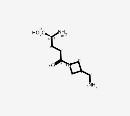 NCC1CN(C(=O)CC[C@H](N)C(=O)O)C1